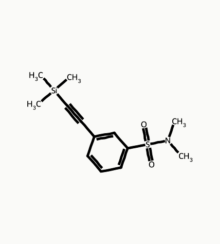 CN(C)S(=O)(=O)c1cccc(C#C[Si](C)(C)C)c1